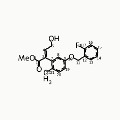 COC(=O)/C(=C/CO)c1cc(OCc2ccccc2F)ccc1C